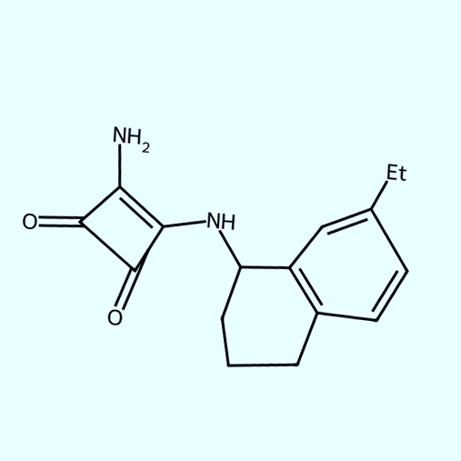 CCc1ccc2c(c1)C(Nc1c(N)c(=O)c1=O)CCC2